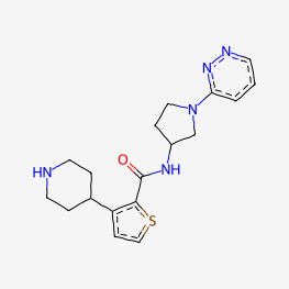 O=C(NC1CCN(c2cccnn2)C1)c1sccc1C1CCNCC1